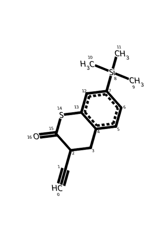 C#CC1Cc2ccc([Si](C)(C)C)cc2SC1=O